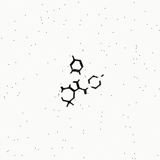 CN1CCN(C(=O)c2c(Nc3ccc(I)cc3F)sc3c2CC(C)(C)CNC3=O)CC1